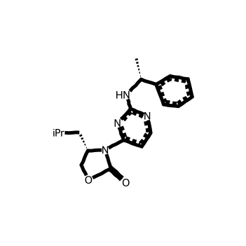 CC(C)C[C@H]1COC(=O)N1c1ccnc(N[C@H](C)c2ccccc2)n1